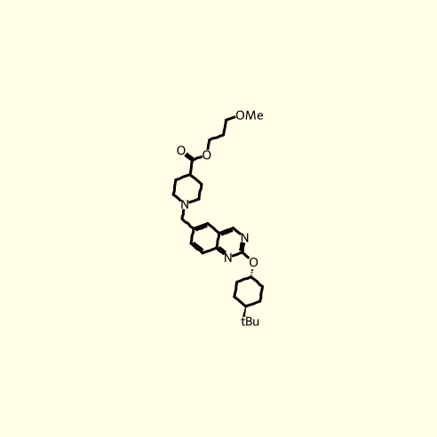 COCCCOC(=O)C1CCN(Cc2ccc3nc(O[C@H]4CC[C@H](C(C)(C)C)CC4)ncc3c2)CC1